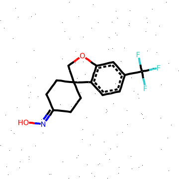 ON=C1CCC2(CC1)COc1cc(C(F)(F)F)ccc12